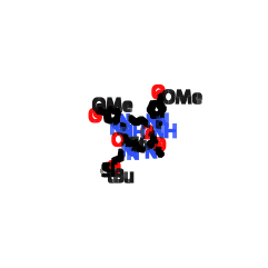 CCc1nc(C)oc1C(=O)Nc1nc2cc(C(=O)OC)ccc2n1C/C=C/Cn1c(NC(=O)c2cc(C)nn2CCCO[Si](C)(C)C(C)(C)C)nc2cc(C(=O)OC)ccc21